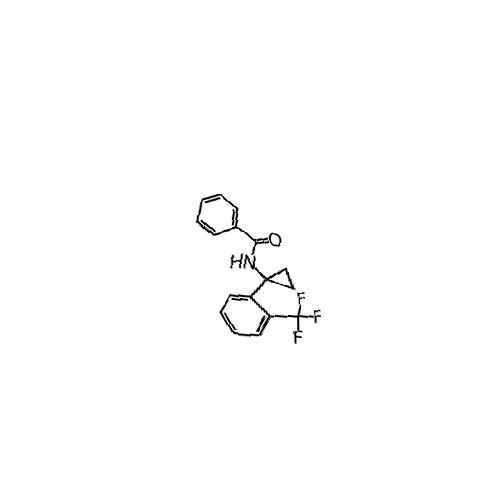 O=C(NC1(c2ccccc2C(F)(F)F)CC1)c1ccccc1